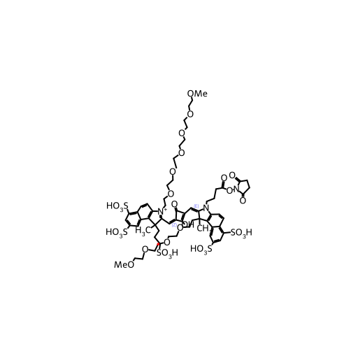 COCCOCCOCCOCCOCCOCC[N+]1=C(/C=C2\C(=O)C(/C=C3/N(CCCC(=O)ON4C(=O)CCC4=O)c4ccc5c(S(=O)(=O)O)cc(S(=O)(=O)O)cc5c4C3(C)CCOCCOCCOCCOC)=C2O)C(C)(CCCS(=O)(=O)O)c2c1ccc1c(S(=O)(=O)O)cc(S(=O)(=O)O)cc21